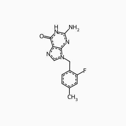 Cc1ccc(Cn2cnc3c(=O)[nH]c(N)nc32)c(F)c1